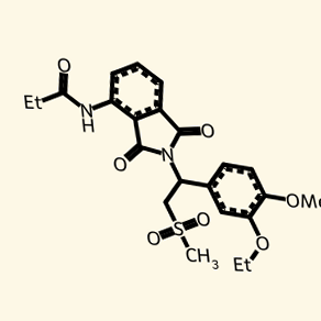 CCOc1cc(C(CS(C)(=O)=O)N2C(=O)c3cccc(NC(=O)CC)c3C2=O)ccc1OC